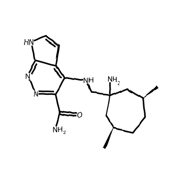 C[C@@H]1CC[C@H](C)CC(N)(CNc2c(C(N)=O)nnc3[nH]ccc23)C1